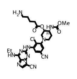 CCNc1nc(Nc2cc(C#N)cc(N3CC[C@@H](NC(=O)OC)[C@H](OC(=O)CCCCN)C3)c2Cl)nn2c(C#N)cnc12